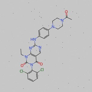 CCn1c(=O)n(-c2c(Cl)cccc2Cl)c(=O)c2cnc(Nc3ccc(N4CCN(C(C)=O)CC4)cc3)nc21